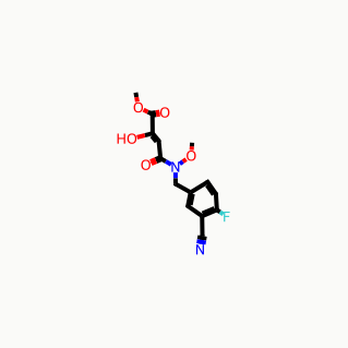 COC(=O)C(O)=CC(=O)N(Cc1ccc(F)c(C#N)c1)OC